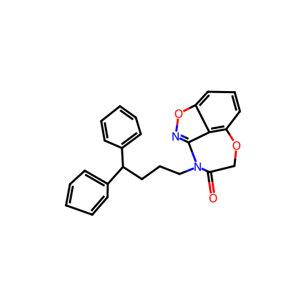 O=C1COc2cccc3onc(c23)N1CCCC(c1ccccc1)c1ccccc1